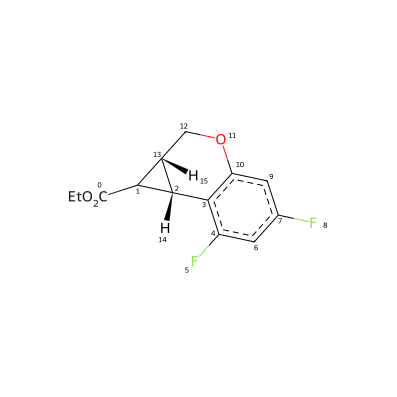 CCOC(=O)C1[C@H]2c3c(F)cc(F)cc3OC[C@@H]12